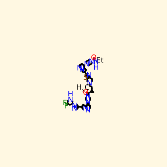 CCNC(=O)N1CCN(c2ccnn3cc(-c4nc5c(s4)CN(C(C)CC4CC4C(=O)N4CCN(c6ccnn7cc(-c8cnn(C9CNCC(F)(F)C9)c8)cc67)CC4)CC5)cc23)CC1